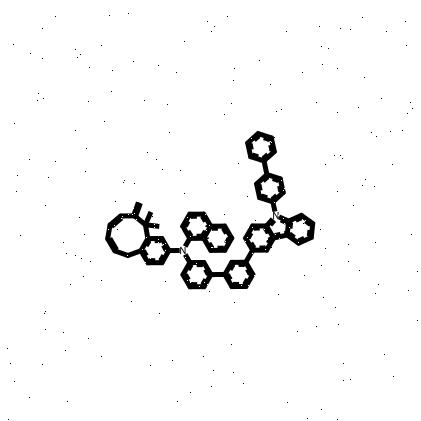 C=C1/C=C\C=C/Cc2ccc(N(c3cccc(-c4cccc(-c5ccc6c(c5)c5ccccc5n6-c5ccc(-c6ccccc6)cc5)c4)c3)c3cccc4ccccc34)cc2C1(C)C